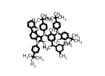 C=C1CC(C)CC(C(C)c2cc(N(c3ccc(C(C)(C)C)cc3)c3ccc(C(C)(C)C)cc3C)c(C)c(N(c3ccc(C(C)(C)C)cc3)c3c(C)n(-c4ccc(C(C)(C)C)cc4)c4ccc5c6ccccc6sc5c34)c2)C1